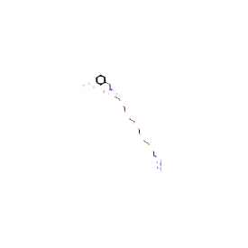 C[Si](C)(Cl)c1cccc(CC(=O)NCCOCCOCCOCCOCCOCCN=[N+]=[N-])c1